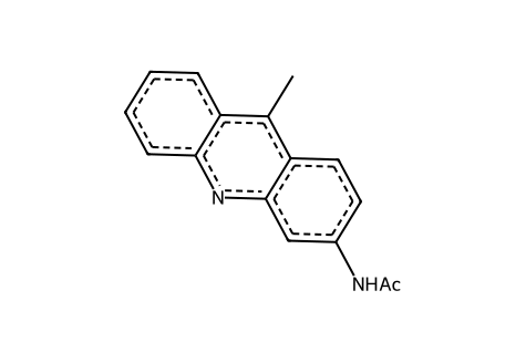 CC(=O)Nc1ccc2c(C)c3ccccc3nc2c1